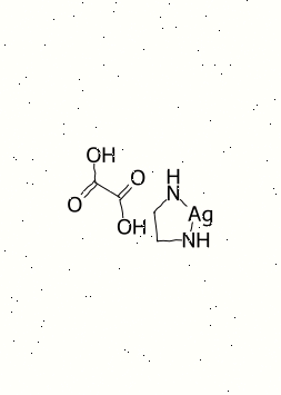 C1C[NH][Ag][NH]1.O=C(O)C(=O)O